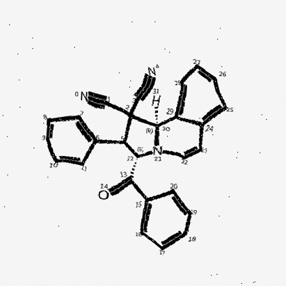 N#CC1(C#N)C(c2ccccc2)[C@@H](C(=O)c2ccccc2)N2C=Cc3ccccc3[C@@H]21